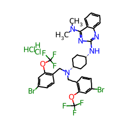 CN(C)c1nc(N[C@H]2CC[C@@H](N(Cc3ccc(Br)cc3OC(F)(F)F)Cc3ccc(Br)cc3OC(F)(F)F)CC2)nc2ccccc12.Cl.Cl